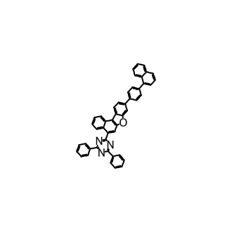 c1ccc(-c2nc(-c3ccccc3)nc(-c3cc4oc5cc(-c6ccc(-c7cccc8ccccc78)cc6)ccc5c4c4ccccc34)n2)cc1